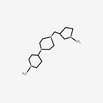 CN1CCC(N2CCN(CC3CCN(C)C3)CC2)CC1